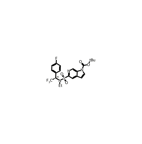 CCN([C@H](c1ccc(F)cc1)C(F)(F)F)S(=O)(=O)c1cc2ccn(C(=O)OC(C)(C)C)c2cn1